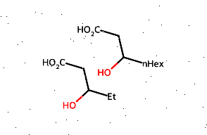 CCC(O)CC(=O)O.CCCCCCC(O)CC(=O)O